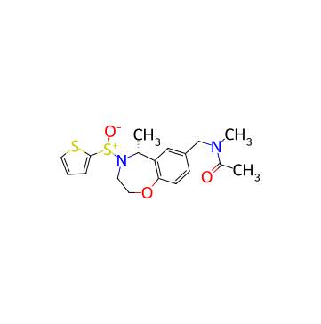 CC(=O)N(C)Cc1ccc2c(c1)[C@@H](C)N([S+]([O-])c1cccs1)CCO2